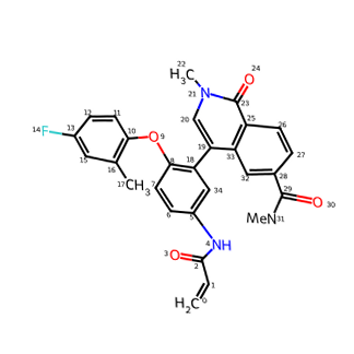 C=CC(=O)Nc1ccc(Oc2ccc(F)cc2C)c(-c2cn(C)c(=O)c3ccc(C(=O)NC)cc23)c1